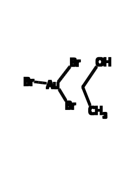 CCO.[Br][Au]([Br])[Br]